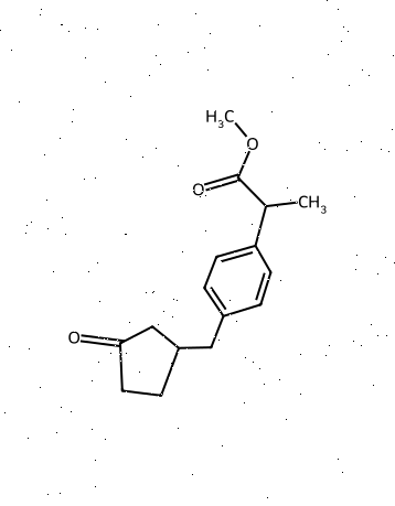 COC(=O)C(C)c1ccc(CC2CCC(=O)C2)cc1